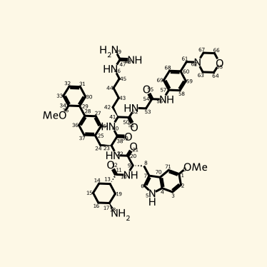 COc1ccc2[nH]cc(C[C@H](NC(=O)[C@H]3CCC[C@H](N)C3)C(=O)N[C@@H](Cc3ccc(-c4ccccc4OC)cc3)C(=O)N[C@@H](CCCCNC(=N)N)C(=O)NCC(=O)Nc3ccc(CN4CCOCC4)cc3)c2c1